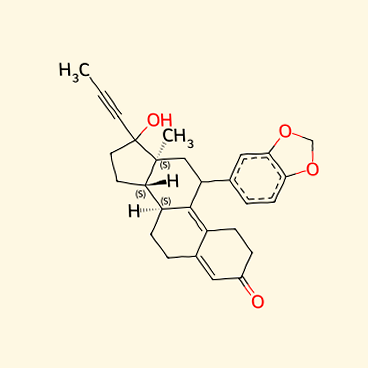 CC#CC1(O)CC[C@H]2[C@@H]3CCC4=CC(=O)CCC4=C3C(c3ccc4c(c3)OCO4)C[C@@]21C